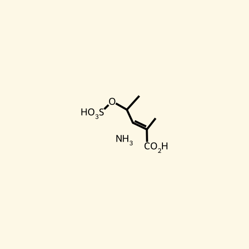 CC(=CC(C)OS(=O)(=O)O)C(=O)O.N